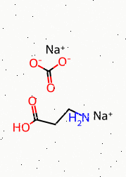 NCCC(=O)O.O=C([O-])[O-].[Na+].[Na+]